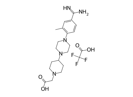 Cc1cc(C(=N)N)ccc1N1CCN(C2CCN(CC(=O)O)CC2)CC1.O=C(O)C(F)(F)F